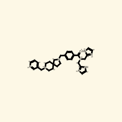 O=C(c1ccc(CN2CCC3(CCN(Cc4cccnc4)CC3)C2)cc1)N(Cc1ncc[nH]1)Cc1ncc[nH]1